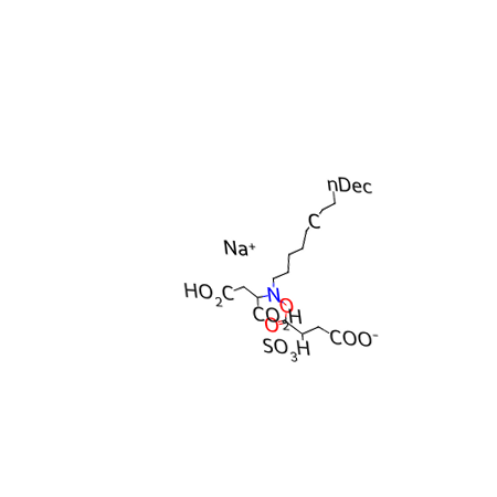 CCCCCCCCCCCCCCCCCCN(OC(=O)C(CC(=O)[O-])S(=O)(=O)O)C(CC(=O)O)C(=O)O.[Na+]